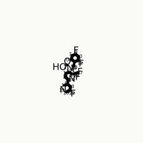 O=C(O)N(Cc1ccc(F)cc1F)c1ccc(-c2cncc(F)c2)nc1C(F)(F)F